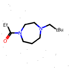 CCC(=O)N1CCCN(CC(C)(C)C)CC1